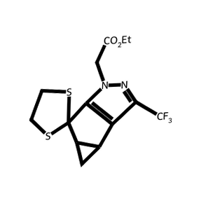 CCOC(=O)Cn1nc(C(F)(F)F)c2c1C1(SCCS1)C1CC21